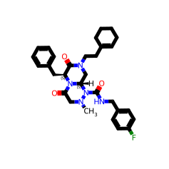 CN1CC(=O)N2[C@@H](Cc3ccccc3)C(=O)N(CCC3=CCCCC3)C[C@@H]2N1C(=O)NCc1ccc(F)cc1